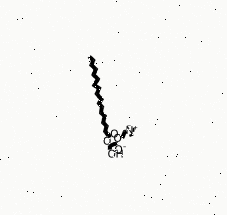 CCCCCCCCCCCCCCCCCC(=O)OC(CO)C([O-])OCC[N+](C)(C)C